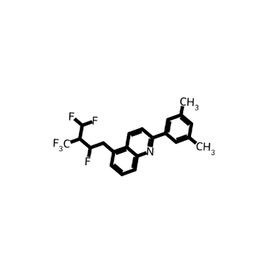 Cc1cc(C)cc(-c2ccc3c(CC(F)C(C(F)F)C(F)(F)F)cccc3n2)c1